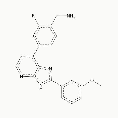 COc1cccc(-c2nc3c(-c4ccc(CN)c(F)c4)ccnc3[nH]2)c1